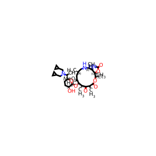 CC[C@H]1OC(=O)C(C)C(=O)[C@H](C)[C@@H](O[C@@H]2O[C@H](C(C)N(CC3CC3)CC3CC3)CC[C@H]2O)[C@](C)(OC)C[C@@H](C)CN[C@H](C)[C@H]2NC(=O)O[C@@]21C